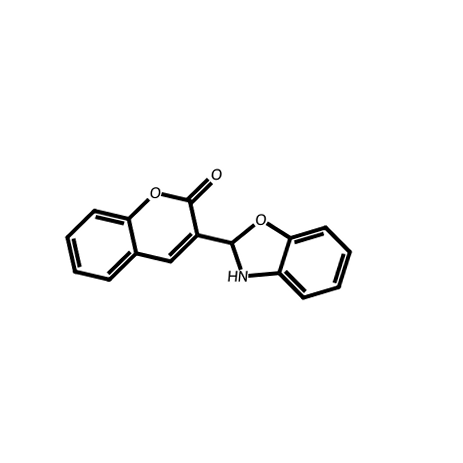 O=c1oc2ccccc2cc1C1Nc2ccccc2O1